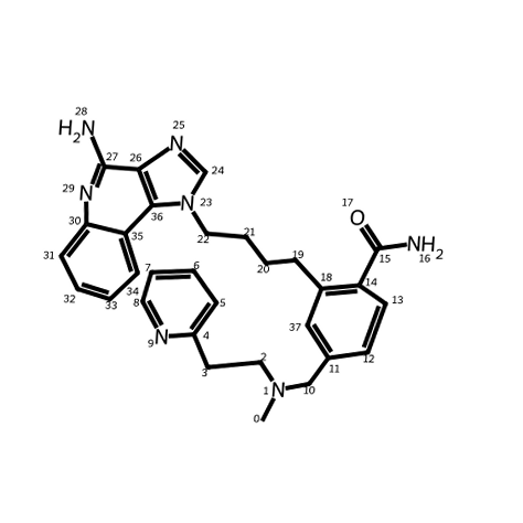 CN(CCc1ccccn1)Cc1ccc(C(N)=O)c(CCCCn2cnc3c(N)nc4ccccc4c32)c1